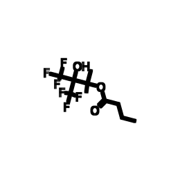 CCCC(=O)OC(C)(C)C(O)(C(F)(F)F)C(F)(F)F